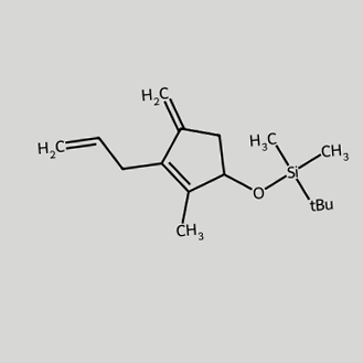 C=CCC1=C(C)C(O[Si](C)(C)C(C)(C)C)CC1=C